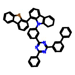 C1=Cc2c(n(-c3cccc(-c4nc(-c5ccccc5)nc(-c5cccc(-c6ccccc6)c5)n4)c3)c3c(-c4cccc5c4sc4ccccc45)cccc23)CC1